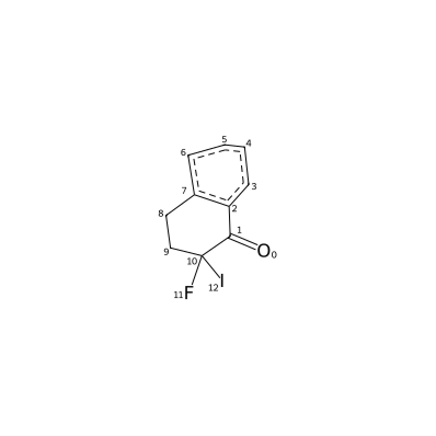 O=C1c2ccccc2CCC1(F)I